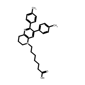 Cc1ccc(-c2cc3c(nc2-c2ccc(C)cc2)CCCN3CCCCCCC(=O)O)cc1